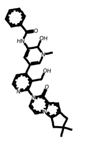 CN1C=C(c2ccnc(-n3ccn4c5c(cc4c3=O)CC(C)(C)C5)c2CO)C=C(NC(=O)c2ccccc2)C1O